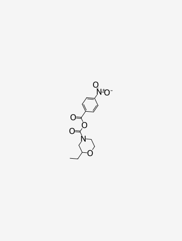 CCC1CN(C(=O)OC(=O)c2ccc([N+](=O)[O-])cc2)CCO1